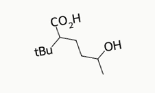 CC(O)CCC(C(=O)O)C(C)(C)C